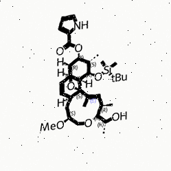 CO[C@@H]1CO[C@@H]([C@@H](C)O)[C@H](C)/C=C(\C)[C@]23O[C@@H]4[C@H](C=C[C@@H]2C1)[C@H]3[C@H](O[Si](C)(C)C(C)(C)C)[C@@H](C)[C@H]4OC(=O)c1ccc[nH]1